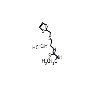 CN/C(=N/CCSCc1nccs1)SC.Cl.Cl